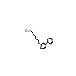 CCCCCCCCCCCCCCCCc1cc(-c2ccncc2)ccn1